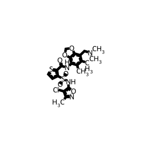 Cc1noc(NS(=O)(=O)c2ccsc2C(=O)Nc2c(C)c(C)c(CN(C)C)c3c2OCO3)c1Cl